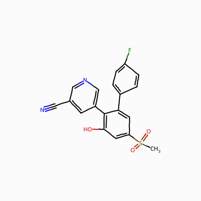 CS(=O)(=O)c1cc(O)c(-c2cncc(C#N)c2)c(-c2ccc(F)cc2)c1